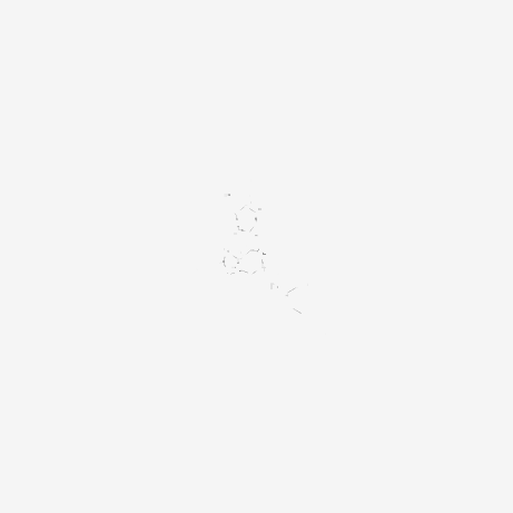 Cc1cn2cc(CNC(=O)/C=C/CF)nc(-c3ccc(C(F)(F)F)cc3)c2n1